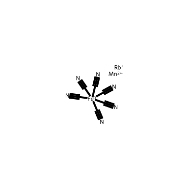 N#[C][Fe-3]([C]#N)([C]#N)([C]#N)([C]#N)[C]#N.[Mn+2].[Rb+]